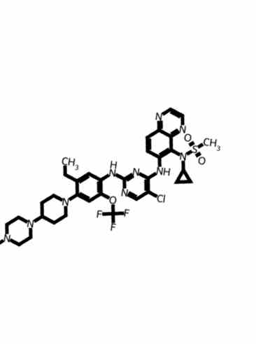 CCc1cc(Nc2ncc(Cl)c(Nc3ccc4nccnc4c3N(C3CC3)S(C)(=O)=O)n2)c(OC(F)(F)F)cc1N1CCC(N2CCN(C)CC2)CC1